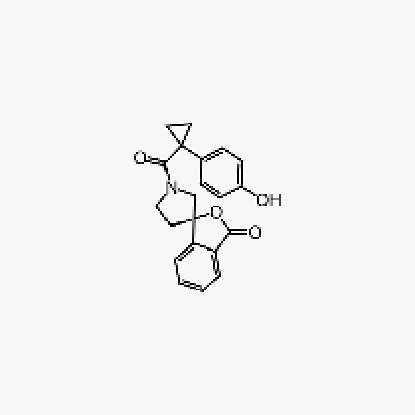 O=C1O[C@]2(CCN(C(=O)C3(c4ccc(O)cc4)CC3)C2)c2ccccc21